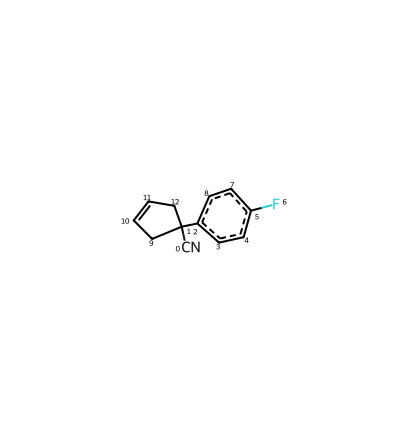 N#CC1(c2ccc(F)cc2)CC=CC1